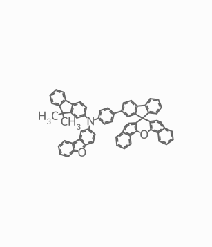 CC1(C)c2ccccc2-c2ccc(N(c3ccc(-c4ccc5c(c4)C4(c6ccccc6-5)c5ccc6ccccc6c5Oc5c4ccc4ccccc54)cc3)c3ccc4oc5ccccc5c4c3)cc21